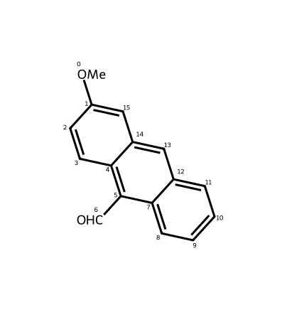 COc1ccc2c(C=O)c3ccccc3cc2c1